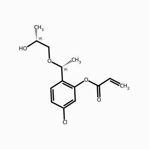 C=CC(=O)Oc1cc(Cl)ccc1[C@@H](C)OC[C@@H](C)O